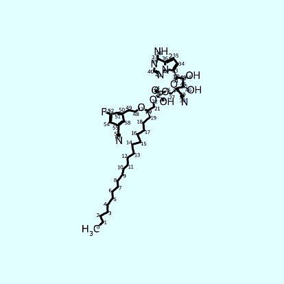 CCCCCCCCCCCCCCCCCCCC[C@H](COP(=O)(O)OC[C@@]1(C#N)O[C@@H](c2ccc3c(N)ncnn23)[C@H](O)[C@@H]1O)OCCc1cc(F)cc(C#N)c1